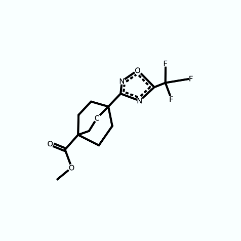 COC(=O)C12CCC(c3noc(C(F)(F)F)n3)(CC1)CC2